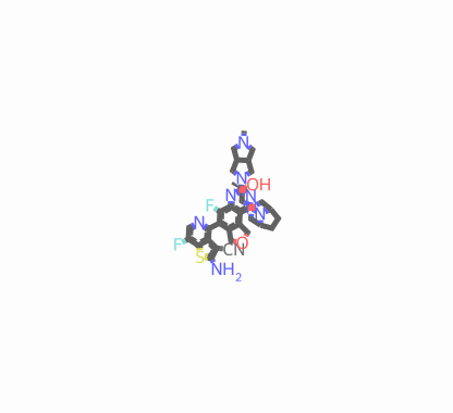 C[C@@H](O)CN1CC2CCC(C1)N2c1nc(N2CC3CN(C)CC3C2)nc2c(F)c(-c3ncc(F)c4sc(N)c(C#N)c34)c3c(c12)COC3